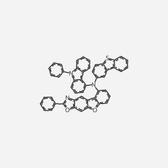 c1ccc(-c2nc3cc4c(cc3o2)oc2cccc(N(c3ccc5sc6ccccc6c5c3)c3cccc5c3c3ccccc3n5-c3ccccc3)c24)cc1